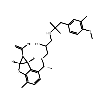 CSc1ccc(CC(C)(C)NCC(O)CO[C@H](C)c2ccc(C)c3c2[C@@H]2[C@H](O3)[C@H]2C(=O)O)cc1C